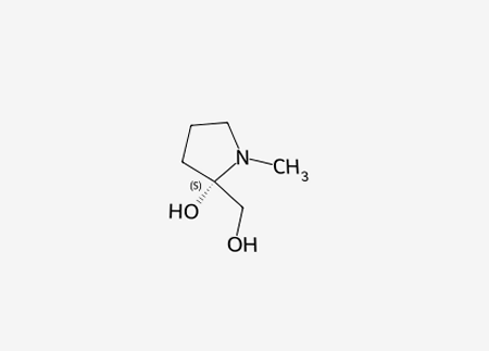 CN1CCC[C@]1(O)CO